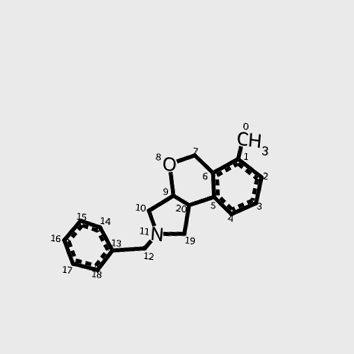 Cc1cccc2c1COC1CN(Cc3ccccc3)CC21